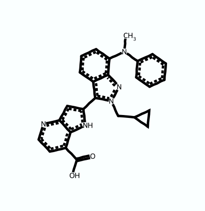 CN(c1ccccc1)c1cccc2c(-c3cc4nccc(C(=O)O)c4[nH]3)n(CC3CC3)nc12